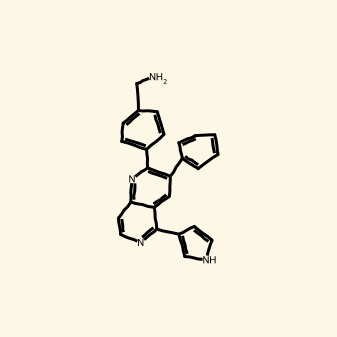 NCc1ccc(-c2nc3ccnc(-c4cc[nH]c4)c3cc2-c2ccccc2)cc1